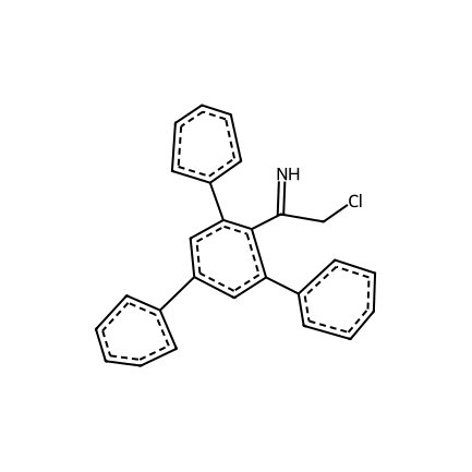 N=C(CCl)c1c(-c2ccccc2)cc(-c2ccccc2)cc1-c1ccccc1